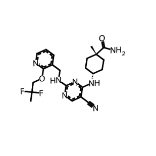 CC(F)(F)COc1ncccc1CNc1ncc(C#N)c(N[C@H]2CC[C@@](C)(C(N)=O)CC2)n1